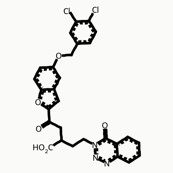 O=C(CC(CCn1nnc2ccccc2c1=O)C(=O)O)c1cc2cc(OCc3ccc(Cl)c(Cl)c3)ccc2o1